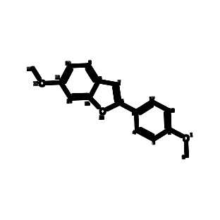 COc1ccc(-c2[c]c3ccc(OC)cc3o2)cc1